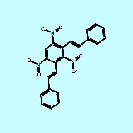 O=[N+]([O-])c1cc([N+](=O)[O-])c(C=Cc2ccccc2)c([N+](=O)[O-])c1C=Cc1ccccc1